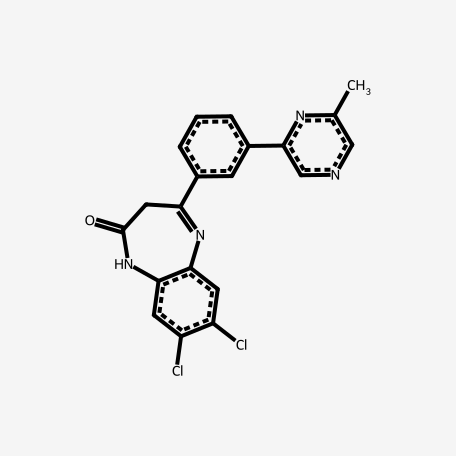 Cc1cncc(-c2cccc(C3=Nc4cc(Cl)c(Cl)cc4NC(=O)C3)c2)n1